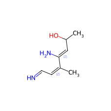 CC(=C/C=N)/C(N)=C/C(C)O